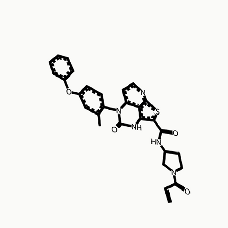 C=CC(=O)N1CCC(NC(=O)c2sc3nccc4c3c2NC(=O)N4c2ccc(Oc3ccccc3)cc2C)C1